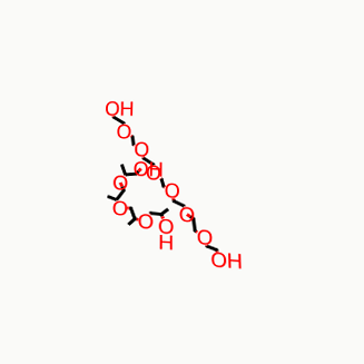 CC(O)COC(C)COC(C)COC(C)CO.OCCOCCOCCOCCOCCOCCOCCO